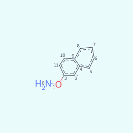 NOc1[c]c2ccccc2cc1